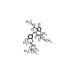 CCOC(=O)NC(=S)N(Cc1ccc(Cl)c(CN(C)C(=O)OC(C)(C)C)c1)c1c(C)c[nH]c1C(=O)OCC